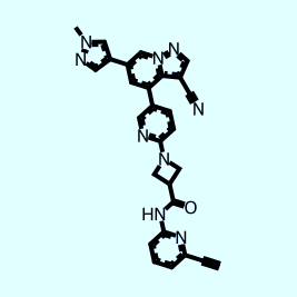 C#Cc1cccc(NC(=O)C2CN(c3ccc(-c4cc(-c5cnn(C)c5)cn5ncc(C#N)c45)cn3)C2)n1